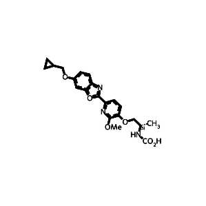 COc1nc(-c2nc3ccc(OCC4CC4)cc3o2)ccc1OC[C@H](C)NC(=O)O